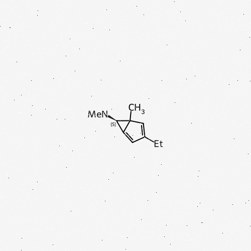 CCC1=CC2(C)C(=C1)[C@H]2NC